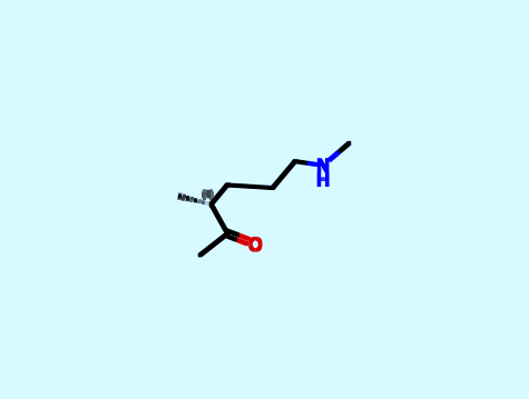 CNCCC[C@@H](C)C(C)=O